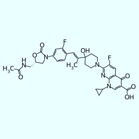 CC(=O)NC[C@H]1CN(c2ccc(/C=C(\C)C3(O)CCN(c4nc5c(cc4F)c(=O)c(C(=O)O)cn5C4CC4)CC3)c(F)c2)C(=O)O1